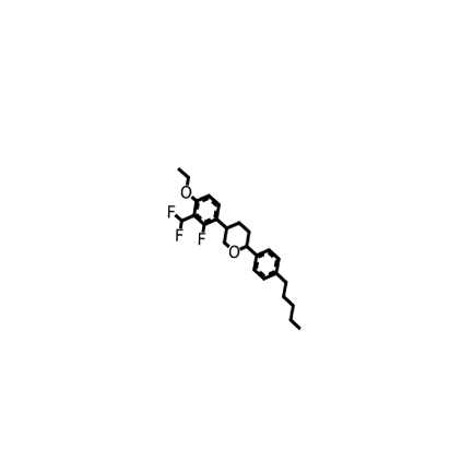 CCCCCc1ccc(C2CCC(c3ccc(OCC)c(C(F)F)c3F)CO2)cc1